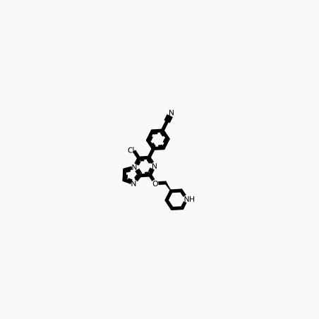 N#Cc1ccc(-c2nc(OC[C@@H]3CCCNC3)c3nccn3c2Cl)cc1